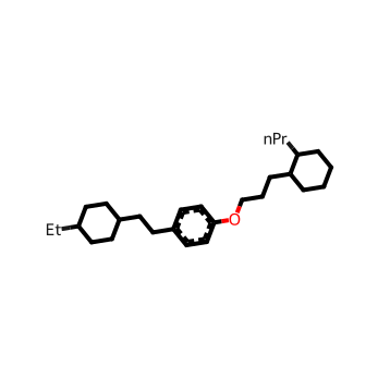 CCCC1CCCCC1CCCOc1ccc(CCC2CCC(CC)CC2)cc1